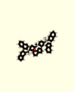 O=P(c1ccc(P(=O)(c2ccc(P(=O)(c3ccc4ccccc4c3)c3ccc4ccccc4c3)cc2)c2cccc3ccccc23)cc1)(c1ccc2ccccc2c1)c1ccc2ccccc2c1